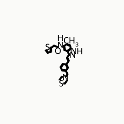 Cc1cc2[nH]nc(/C=C/c3cccc(CN4CCSCC4)c3)c2cc1NC(=O)Cc1cccs1